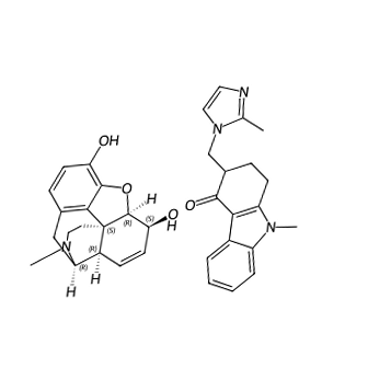 CN1CC[C@]23c4c5ccc(O)c4O[C@H]2[C@@H](O)C=C[C@H]3[C@H]1C5.Cc1nccn1CC1CCc2c(c3ccccc3n2C)C1=O